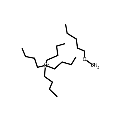 BOCCCCC.CCCC[N+](CCCC)(CCCC)CCCC